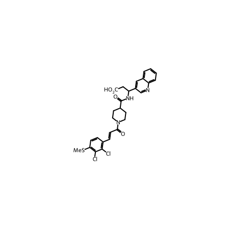 CSc1ccc(C=CC(=O)N2CCC(C(=O)NC(CC(=O)O)c3cnc4ccccc4c3)CC2)c(Cl)c1Cl